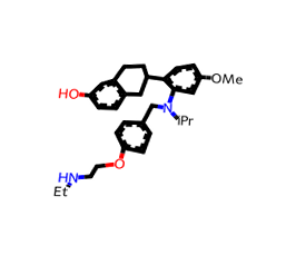 CCNCCOc1ccc(CN(c2cc(OC)ccc2C2CCc3cc(O)ccc3C2)C(C)C)cc1